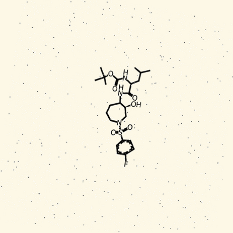 CC(C)CC(NC(=O)OC(C)(C)C)C(=O)NC1CCCN(S(=O)(=O)c2ccc(F)cc2)C[C@@H]1O